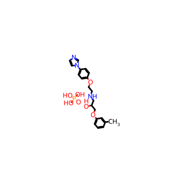 Cc1cccc(OCC(O)CNCCOc2ccc(-n3ccnc3)cc2)c1.O=P(O)(O)O